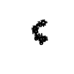 O=C(NCc1cn2cc(CNCC3CCCCC3)ccc2n1)c1cc(=O)n2ccccc2c1